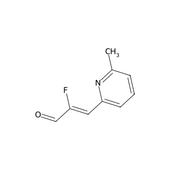 Cc1cccc(C=C(F)C=O)n1